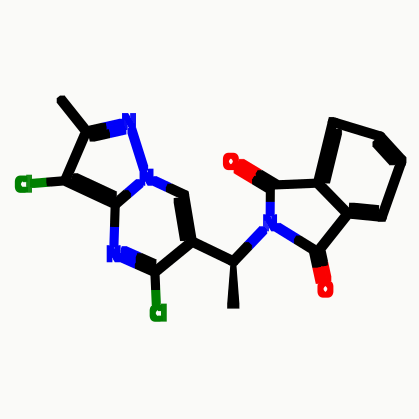 Cc1nn2cc([C@H](C)N3C(=O)c4ccccc4C3=O)c(Cl)nc2c1Cl